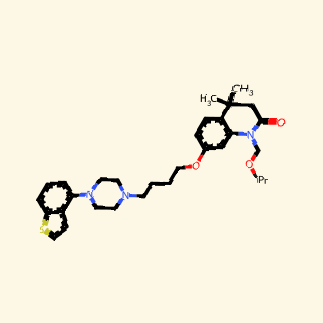 CC(C)OCN1C(=O)CC(C)(C)c2ccc(OCCCCN3CCN(c4cccc5sccc45)CC3)cc21